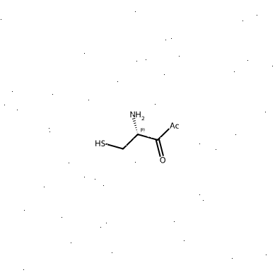 CC(=O)C(=O)[C@@H](N)CS